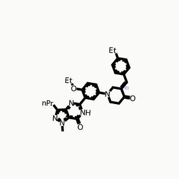 CCCc1nn(C)c2c(=O)[nH]c(-c3cc(N4CCC(=O)/C(=C/c5ccc(CC)cc5)C4)ccc3OCC)nc12